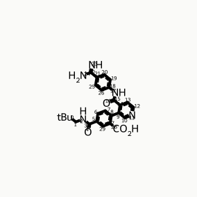 CC(C)(C)CNC(=O)c1ccc(-c2cnccc2C(=O)Nc2ccc(C(=N)N)cc2)c(C(=O)O)c1